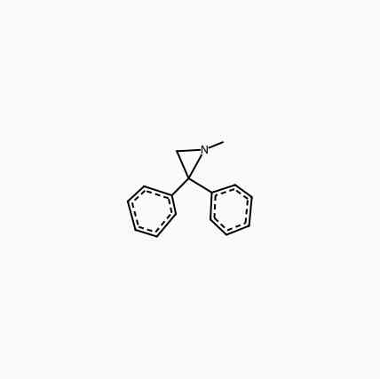 CN1CC1(c1ccccc1)c1ccccc1